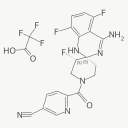 N#Cc1ccc(C(=O)N2CC[C@]3(N=C(N)c4c(F)ccc(F)c4N3)[C@@H](F)C2)nc1.O=C(O)C(F)(F)F